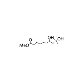 COC(=O)CCCCCC(O)CC(C)(C)O